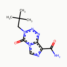 CC(C)(C)Cn1nnc2c(C(N)=O)ncn2c1=O